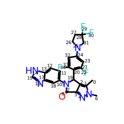 Cc1c2c(nn1C)C(=O)N(c1ccc3[nH]cnc3c1)C2c1c(F)cc(N2CCC(F)(F)C2)cc1F